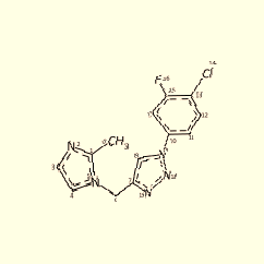 Cc1nccn1Cc1cn(-c2ccc(Cl)c(F)c2)nn1